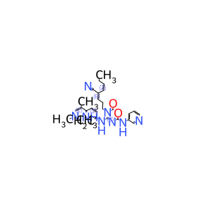 C=C(/C=C\C(=N)/C(C)=C\N(C)C)N/C(=N/C(=O)Nc1cccnc1)N(C=O)CC/C=C(C#N)\C=C/CC